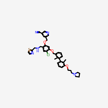 Cc1c(COc2cc(OCc3cncc(C#N)c3)c(CNCc3nccs3)cc2Cl)cccc1-c1cccc(OCCCN2CCCC2)c1C